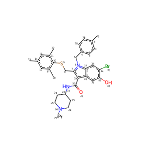 Cc1ccc(Cn2c(CSc3c(C)cc(C)cc3C)c(C(=O)NC3CCN(C(C)C)CC3)c3cc(O)c(Br)cc32)cc1